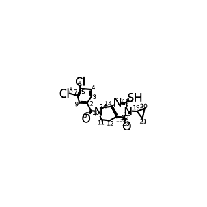 O=C(c1ccc(Cl)c(Cl)c1)N1CCc2c(nc(S)n(C3CC3)c2=O)C1